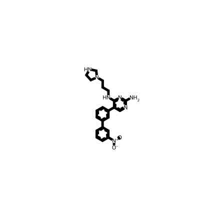 Nc1ncc(-c2cccc(-c3cccc([N+](=O)[O-])c3)c2)c(NCCCN2CCNC2)n1